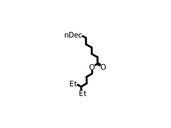 CCCCCCCCCCCCCCCC(=O)OCCCC(CC)CC